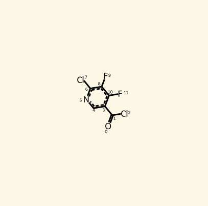 O=C(Cl)c1cnc(Cl)c(F)c1F